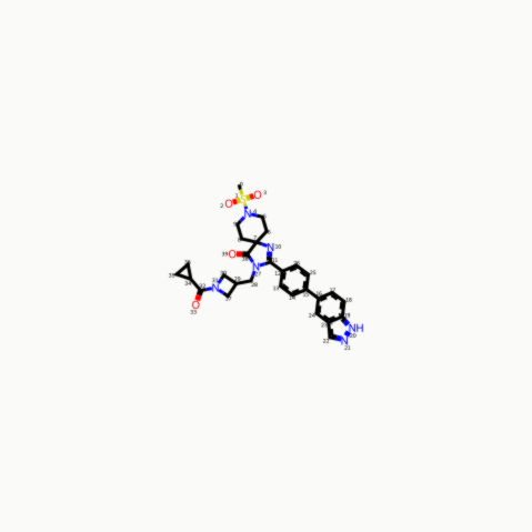 CS(=O)(=O)N1CCC2(CC1)N=C(c1ccc(-c3ccc4[nH]ncc4c3)cc1)N(CC1CN(C(=O)C3CC3)C1)C2=O